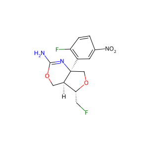 NC1=N[C@@]2(c3cc([N+](=O)[O-])ccc3F)CO[C@H](CF)[C@H]2CO1